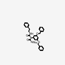 CNC(=O)N(C(=O)NCCc1ccccc1)c1cc(OCc2ccccc2)cc(OCc2ccccc2)c1